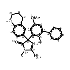 COc1cc(-c2ccccc2)c(F)c(C2(c3ccc4c(c3)CCCO4)N=C(N)N(C)C2=O)c1